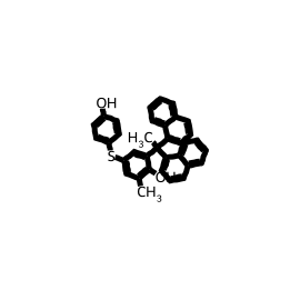 Cc1cc(Sc2ccc(O)cc2)cc(C(C)(c2cccc3ccccc23)c2cccc3ccccc23)c1O